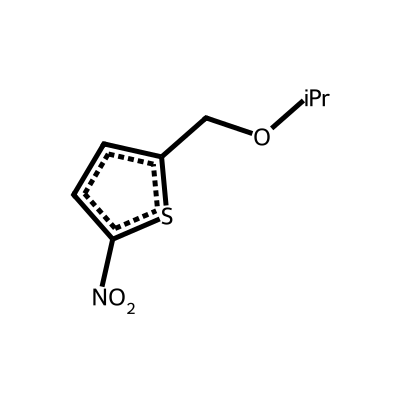 CC(C)OCc1ccc([N+](=O)[O-])s1